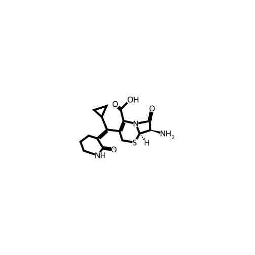 N[C@@H]1C(=O)N2C(C(=O)O)=C(C(=C3CCCNC3=O)C3CC3)CS[C@H]12